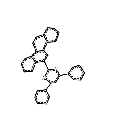 c1ccc(-c2cc(-c3ccccc3)nc(-c3cc4c5ccccc5ccc4c4ccccc34)n2)cc1